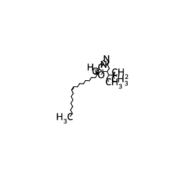 C=C(C)C(CC)C(COC(=O)CCCCCCC/C=C\CCCCCCCC)Cc1cncn1C